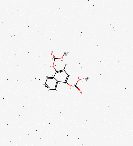 CCCOC(=O)Oc1cc(C)c(OC(=O)OCCC)c2ccccc12